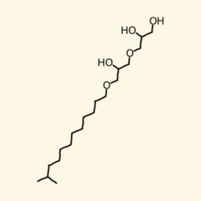 CC(C)CCCCCCCCCCOCC(O)COCC(O)CO